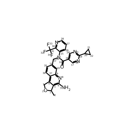 CC1OCc2c1c(N)nc1cc(CN(C(=O)c3cnc(C4CC4)nc3)c3cccnc3C(F)(F)F)ccc21